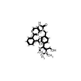 C=N/C(=C(/CO)N(C)C)c1ccc(Cn2c(=O)[nH]c3cnc(-c4ccccc4C(C)C)nc32)cc1